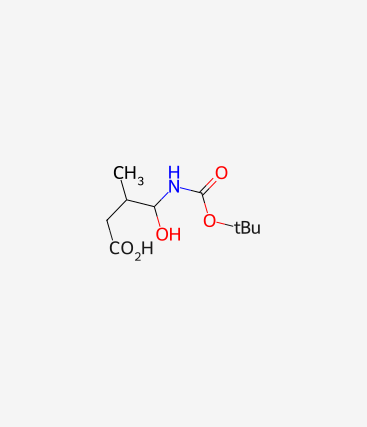 CC(CC(=O)O)C(O)NC(=O)OC(C)(C)C